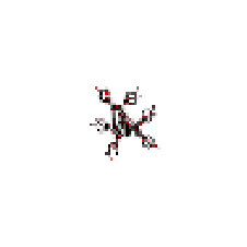 CCCCC(CC)COc1ccc(-c2ccc3[nH]c4c(-c5ccc(N(c6ccc(-c7cc(-c8ccc(OCC(CC)CCCC)cc8)cc8c7[nH]c7ccc(-c9ccc(OCC(CC)CCCC)cc9)cc78)cc6)c6ccc(-c7cc(-c8ccc(OCC(CC)CCCC)cc8)cc8c7[nH]c7ccc(-c9ccc(OCC(CC)CCCC)cc9)cc78)cc6)cc5)cc(-c5ccc(OCC(CC)CCCC)cc5)cc4c3c2)cc1